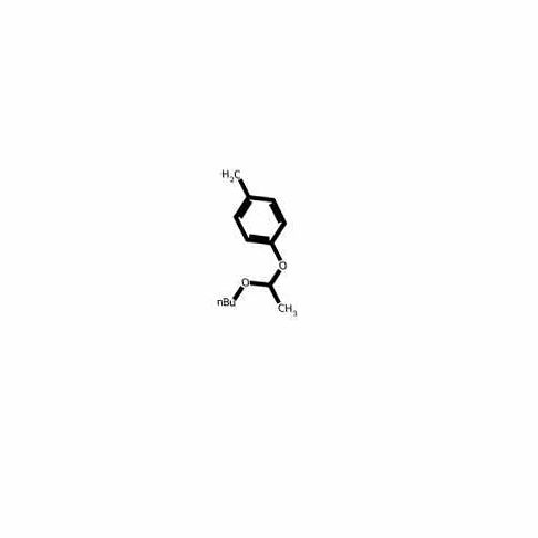 [CH2]c1ccc(OC(C)OCCCC)cc1